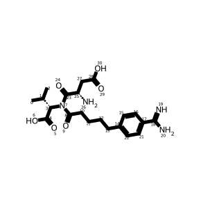 CC(C)[C@@H](C(=O)O)N(C(=O)CCCCc1ccc(C(=N)N)cc1)C(=O)[C@@H](N)CC(=O)O